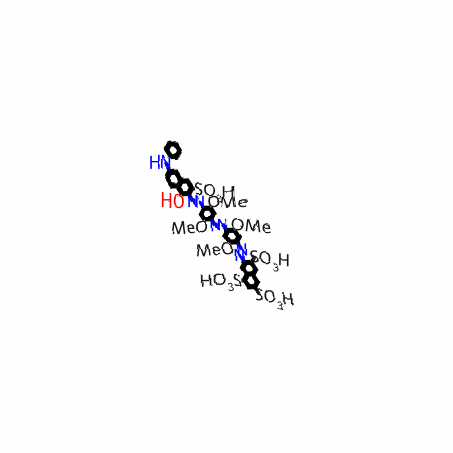 COc1cc(N=Nc2cc3c(S(=O)(=O)O)cc(S(=O)(=O)O)cc3cc2S(=O)(=O)O)c(OC)cc1N=Nc1cc(OC)c(N=Nc2c(S(=O)(=O)O)cc3cc(Nc4ccccc4)ccc3c2O)cc1OC